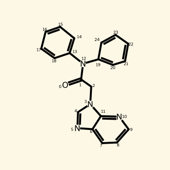 O=C(Cn1cnc2cccnc21)N(c1ccccc1)c1ccccc1